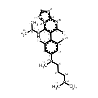 C[C@@H](Nc1c(-c2c(F)cc(N(C)CCCN(C)C)cc2F)c(Cl)nc2ncnn12)C(F)(F)F